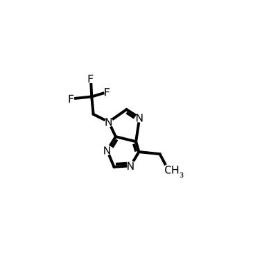 CCc1ncnc2c1ncn2CC(F)(F)F